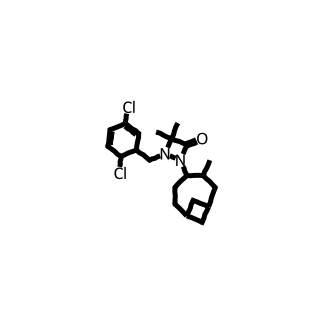 CC1CC2CC(CCC1N1C(=O)C(C)(C)N1CC1C=C(Cl)C=CC1Cl)C2